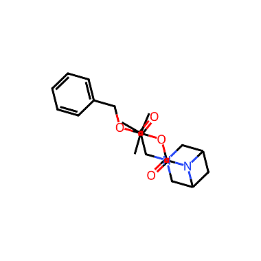 CC(C)(C)OC(=O)N1C2CC1CN(CC(=O)OCc1ccccc1)C2